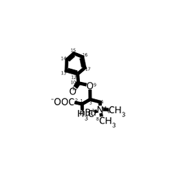 CCCCC(C(=O)[O-])C(C[N+](C)(C)C)OC(=O)c1ccccc1